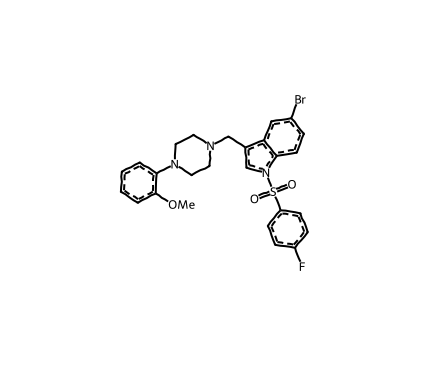 COc1ccccc1N1CCN(Cc2cn(S(=O)(=O)c3ccc(F)cc3)c3ccc(Br)cc23)CC1